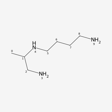 CC(CN)NCCCCN